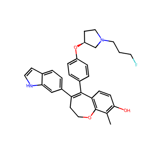 Cc1c(O)ccc2c1OCCC(c1ccc3cc[nH]c3c1)=C2c1ccc(O[C@H]2CCN(CCCF)C2)cc1